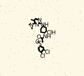 Cc1cnc(N[C@H]2CC[C@@H](NC(=O)C[S+]([O-])c3ccc(Cl)c(Cl)c3)CC2)nc1N(C)C.Cl